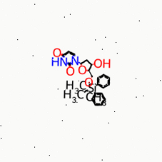 CC(C)(C)[Si](OC[C@H]1O[C@@H](n2ccc(=O)[nH]c2=O)C[C@@H]1O)(c1ccccc1)c1ccccc1